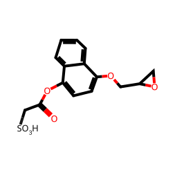 O=C(CS(=O)(=O)O)Oc1ccc(OCC2CO2)c2ccccc12